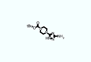 CC(C)(C)OC(=O)N1CCN(c2nc(N)n[nH]2)CC1